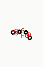 OC1(Oc2ccc(Sc3ccc(OC4(O)CCCCC4)cc3)cc2)CCCCC1